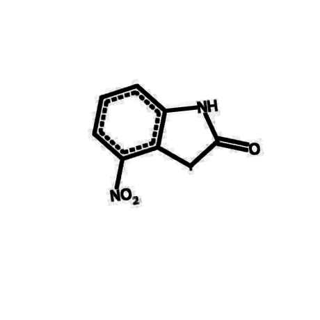 O=C1[CH]c2c(cccc2[N+](=O)[O-])N1